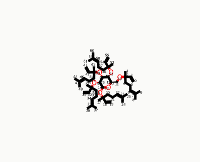 C=CC(C)(CCC=C(C)C)OC[C@H]1OC(OC(C)(C=C)CCC=C(C)C)[C@H](OC(C)(C=C)CCC=C(C)C)[C@@H](OC(C)(C=C)CCC=C(C)C)[C@@H]1OC(C)(C=C)CCC=C(C)C